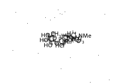 CNC(=O)C1CCC2(N)[C@@H]3CCC4CC(O[C@@H]5O[C@@H](C)[C@H](O)[C@@H](O)[C@H]5O)CC[C@]4(C)[C@H]3CC[C@]12C.Cl